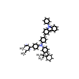 C=C/C=C(\C=C/C)c1ccc(N(c2ccc(-c3ccc4c(c3)c3ccccc3n4-c3ccccc3)cc2)c2ccc3c(c2)C(C)(C)C2=C3CCCC2)cc1